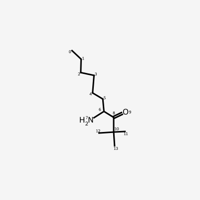 CCCCCCC(N)C(=O)C(C)(C)C